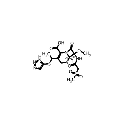 CO[C@@]1(NC(=O)CS(C)(=O)=O)C(=O)N2C(C(=O)O)=C(C(C)Sc3cnn[nH]3)CS[C@H]21